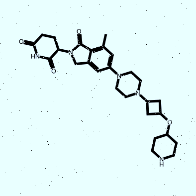 Cc1cc(N2CCN(C3CC(OC4CCNCC4)C3)CC2)cc2c1C(=O)N(C1CCC(=O)NC1=O)C2